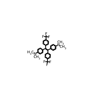 CN(C)c1ccc(/C(=C(/c2ccc(N(C)C)cc2)c2ccc(C(F)(F)F)cc2)c2ccc(C(F)(F)F)cc2)cc1